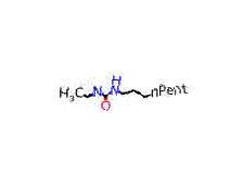 CC=NC(=O)NCCCCCCCC